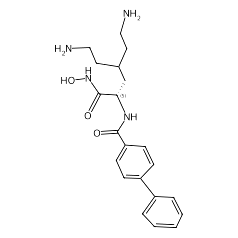 NCCC(CCN)C[C@H](NC(=O)c1ccc(-c2ccccc2)cc1)C(=O)NO